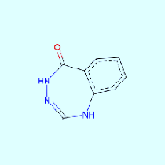 O=C1NN=[C]Nc2ccccc21